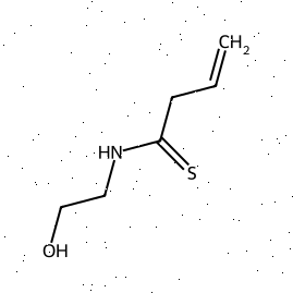 C=CCC(=S)NCCO